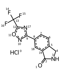 Cl.O=C1NCc2ccc(-c3noc(C(F)(F)F)n3)cc21